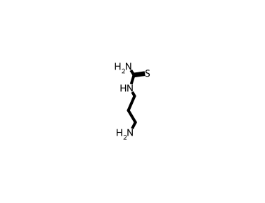 NCCCNC(N)=S